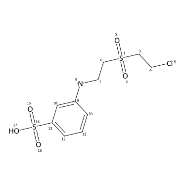 O=S(=O)(CCCl)CC[N]c1cccc(S(=O)(=O)O)c1